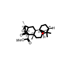 COC(=O)[C@@]12C(=O)[C@@]3(C)O[C@]1(C)C3CC1[C@]2(C)CC[C@@H]2C(C)(C)[C@H]3CC[C@@]12C(=O)O3